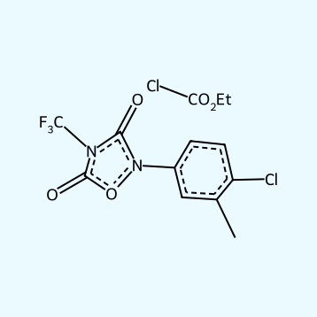 CCOC(=O)Cl.Cc1cc(-n2oc(=O)n(C(F)(F)F)c2=O)ccc1Cl